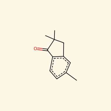 Cc1ccc2c(c1)CC(C)(C)C2=O